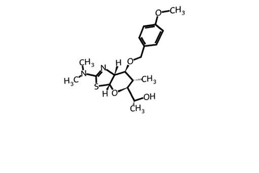 COc1ccc(CO[C@H]2[C@H](C)[C@@H]([C@@H](C)O)O[C@@H]3SC(N(C)C)=N[C@H]23)cc1